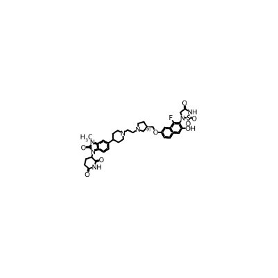 Cn1c(=O)n(C2CCC(=O)NC2=O)c2ccc(C3CCN(CCN4CC[C@@H](COc5ccc6cc(O)c(N7CC(=O)NS7(=O)=O)c(F)c6c5)C4)CC3)cc21